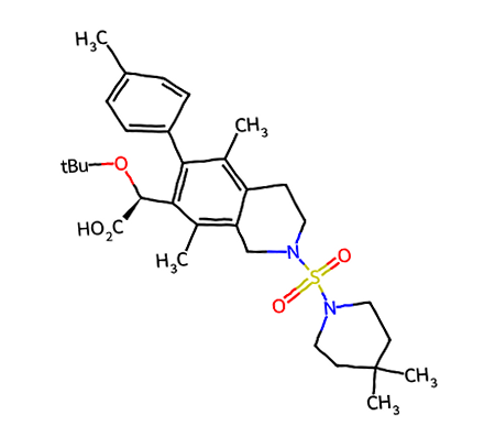 Cc1ccc(-c2c(C)c3c(c(C)c2[C@H](OC(C)(C)C)C(=O)O)CN(S(=O)(=O)N2CCC(C)(C)CC2)CC3)cc1